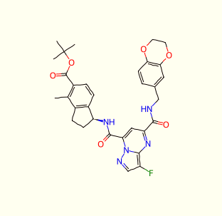 Cc1c(C(=O)OC(C)(C)C)ccc2c1CC[C@@H]2NC(=O)c1cc(C(=O)NCc2ccc3c(c2)OCCO3)nc2c(F)cnn12